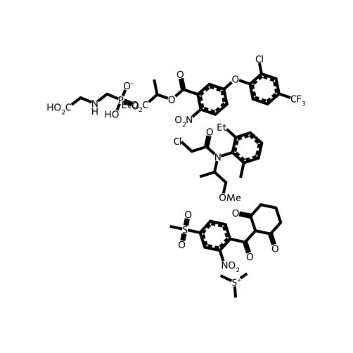 CCOC(=O)C(C)OC(=O)c1cc(Oc2ccc(C(F)(F)F)cc2Cl)ccc1[N+](=O)[O-].CCc1cccc(C)c1N(C(=O)CCl)C(C)COC.CS(=O)(=O)c1ccc(C(=O)C2C(=O)CCCC2=O)c([N+](=O)[O-])c1.C[S+](C)C.O=C(O)CNCP(=O)([O-])O